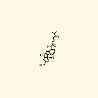 CC(C)C(=O)CSCC(=O)Nc1ncnn2c([C@]3(C#N)OC(CO)C[C@H]3O)ccc12